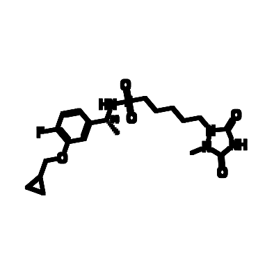 C[C@@H](NS(=O)(=O)CCCCCn1c(=O)[nH]c(=O)n1C)c1ccc(F)c(OCC2CC2)c1